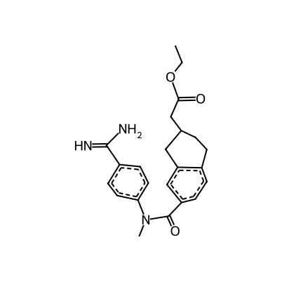 CCOC(=O)CC1CCc2ccc(C(=O)N(C)c3ccc(C(=N)N)cc3)cc2C1